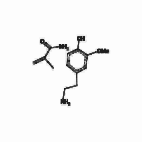 C=C(C)C(N)=O.COc1cc(CCN)ccc1O